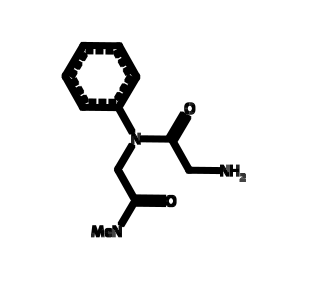 CNC(=O)CN(C(=O)CN)c1ccccc1